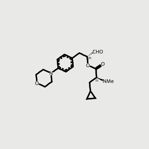 CN[C@@H](CC1CC1)C(=O)O[C@@H](C=O)Cc1ccc(N2CCOCC2)cc1